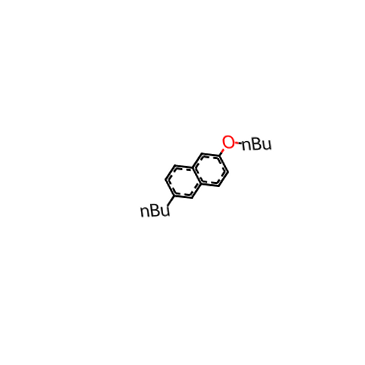 CCCCOc1ccc2cc(CCCC)ccc2c1